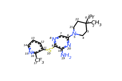 CC(C)C1(C)CCN(c2cnc(Sc3cccnc3C(F)(F)F)c(N)n2)CC1